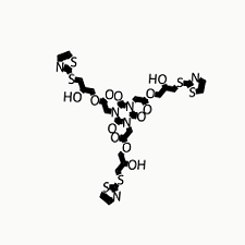 O=C(Cn1c(=O)n(CC(=O)OCC(O)CSc2nccs2)c(=O)n(CC(=O)OCC(O)CSc2nccs2)c1=O)OCC(O)CSc1nccs1